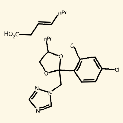 CCCC1COC(Cn2cncn2)(c2ccc(Cl)cc2Cl)O1.CCCC=CCC(=O)O